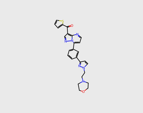 O=C(c1cccs1)c1cnn2c(-c3cccc(-c4ccn(CCN5CCOCC5)n4)c3)ccnc12